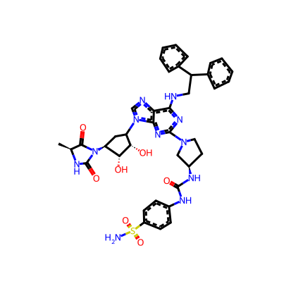 C[C@@H]1NC(=O)N([C@H]2CC(n3cnc4c(NCC(c5ccccc5)c5ccccc5)nc(N5CC[C@@H](NC(=O)Nc6ccc(S(N)(=O)=O)cc6)C5)nc43)[C@H](O)[C@@H]2O)C1=O